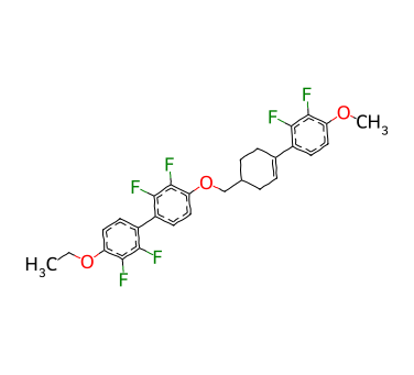 CCOc1ccc(-c2ccc(OCC3CC=C(c4ccc(OC)c(F)c4F)CC3)c(F)c2F)c(F)c1F